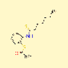 CCCC(=O)Sc1ccccc1NC(=S)CCCCCC(C)C